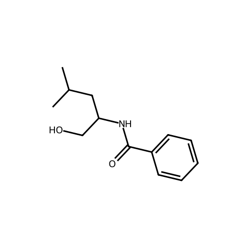 CC(C)CC(CO)NC(=O)c1ccccc1